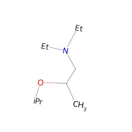 CCN(CC)CC(C)OC(C)C